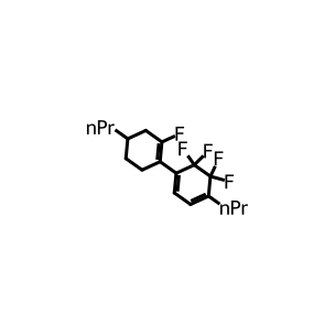 CCCC1=CC=C(C2=C(F)CC(CCC)CC2)C(F)(F)C1(F)F